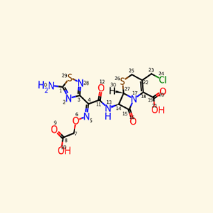 Nc1nc(C(=NOCC(=O)O)C(=O)N[C@@H]2C(=O)N3C(C(=O)O)=C(CCl)CS[C@@H]23)ns1